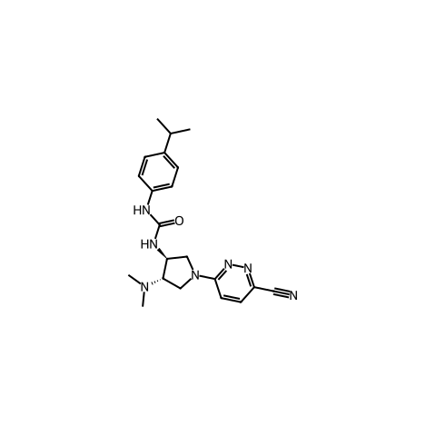 CC(C)c1ccc(NC(=O)N[C@H]2CN(c3ccc(C#N)nn3)C[C@@H]2N(C)C)cc1